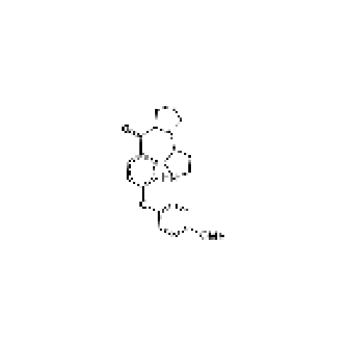 COc1ccc(Oc2ccc(C(=O)C3CCCN3C3CCNC3)cc2)cc1